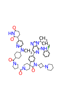 CC(C)n1cnc2cc(-c3ccc4c(c3)N(C3CC(N5CCCCC5)C3)C(=O)C43CCN(C(=O)[C@@H]4CCN(C(=O)C5CCC(N(C)c6ccc(C7CCC(=O)NC7=O)cn6)CC5)C4)CC3)nc(Nc3ccccc3F)c21